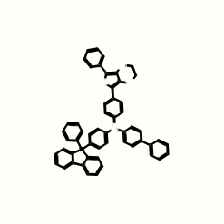 c1ccc(-c2ccc(N(c3ccc(-c4sc(-c5ccccc5)c5c4OCCO5)cc3)c3ccc(C4(c5ccccc5)c5ccccc5-c5ccccc54)cc3)cc2)cc1